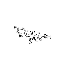 NC(Cc1ccc(F)cc1F)C(=O)N1CC2(CC(O)C2)C1